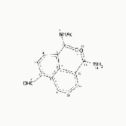 CC(=O)NC(=O)c1ccc(C=O)c2cccc(C(N)=O)c12